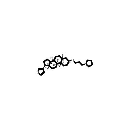 C[C@]12CC[C@H](OCCCN3CCCC3)C[C@@H]1CC[C@@H]1[C@@H]2CC[C@]2(C)[C@@H](c3ccoc3)CC[C@]12O